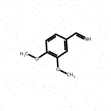 COc1ccc(C=N)cc1OC